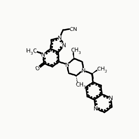 C[C@@H]1CN(c2cc(=O)n(C)c3cn(CC#N)nc23)[C@@H](C)CN1[C@@H](C)c1ccc2nccnc2c1